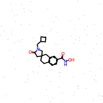 O=C(NO)c1ccc2c(c1)CC1(CC2)CC(=O)N(CC2CCC2)C1